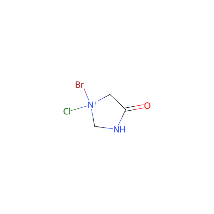 O=C1C[N+](Cl)(Br)CN1